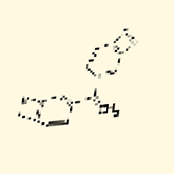 C=C(c1ccc2c(c1)C=C2)c1ccc2c(c1)C=C2